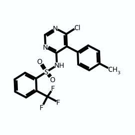 Cc1ccc(-c2c(Cl)ncnc2NS(=O)(=O)c2ccccc2C(F)(F)F)cc1